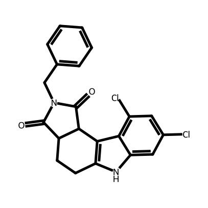 O=C1C2CCc3[nH]c4cc(Cl)cc(Cl)c4c3C2C(=O)N1Cc1ccccc1